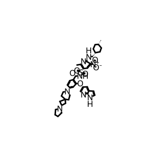 Cc1nc(NC[C@H]2CC[C@@H](C)CC2)c([N+](=O)[O-])cc1S(=O)(=O)NC(=O)c1ccc(N2CCC3(CC2)CC(N2CCCC2)C3)cc1Oc1cnc2[nH]ccc2c1